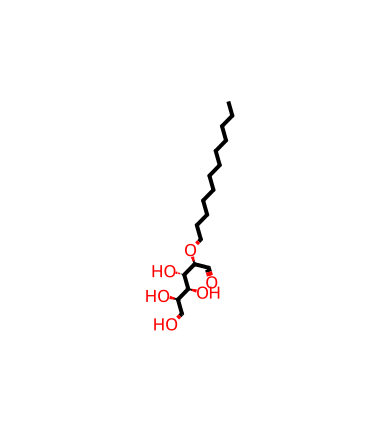 CCCCCCCCCCCCO[C@@H](C=O)[C@@H](O)[C@@H](O)[C@H](O)CO